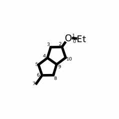 CCOC1CC2CC(C)CC2C1